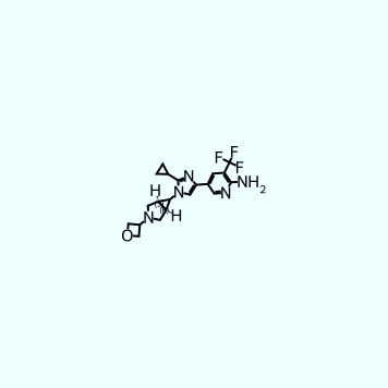 Nc1ncc(-c2cn(C3[C@H]4CN(C5COC5)C[C@@H]34)c(C3CC3)n2)cc1C(F)(F)F